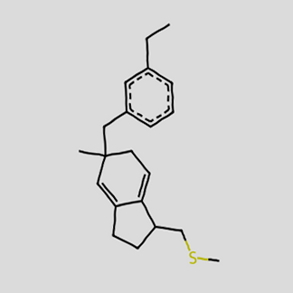 CCc1cccc(CC2(C)C=C3CCC(CSC)C3=CC2)c1